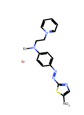 CCN(CC[n+]1ccccc1)c1ccc(N=Nc2ncc([N+](=O)[O-])s2)cc1.[Br-]